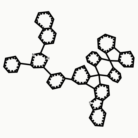 c1ccc(-c2cc(-c3cccc(-c4ccc5c(c4)-c4c(ccc6c4sc4ccccc46)C54c5ccccc5C5(c6ccccc6-c6ccccc65)c5ccccc54)c3)nc(-c3ccc4ccccc4c3)n2)cc1